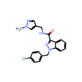 Cn1cc(CNC(=O)c2nn(Cc3ccc(Cl)cc3)c3ccccc23)cn1